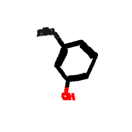 CCCCc1cccc(O)c1